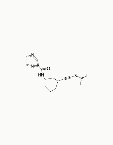 O=C(NC1CCCC(C#CSP(I)I)C1)c1cnccn1